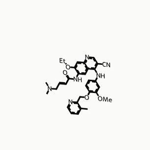 CCOc1cc2ncc(C#N)c(Nc3ccc(OCc4ncccc4C)c(OC)c3)c2cc1NC(=O)/C=C/CN(C)C